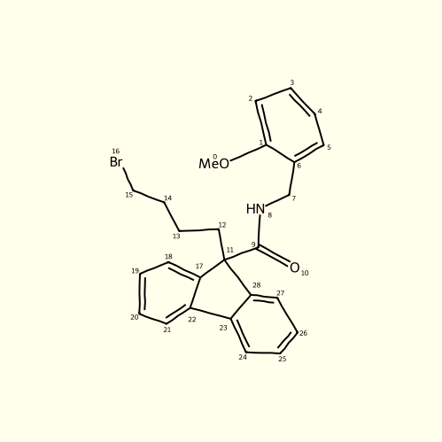 COc1ccccc1CNC(=O)C1(CCCCBr)c2ccccc2-c2ccccc21